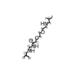 CC(C)CNCCOCCOCC(=O)NCNCC(C)C